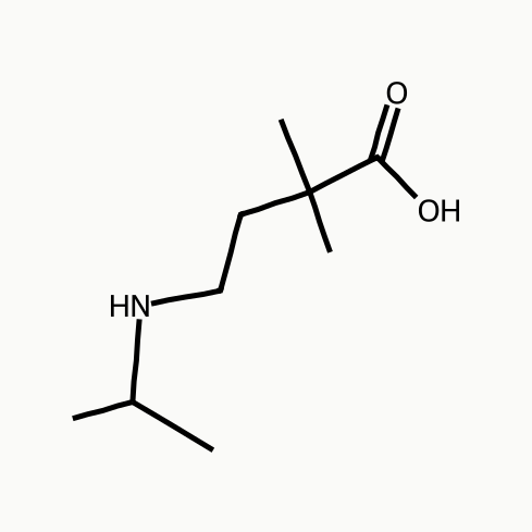 CC(C)NCCC(C)(C)C(=O)O